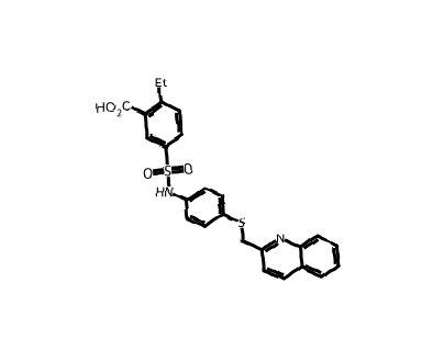 CCc1ccc(S(=O)(=O)Nc2ccc(SCc3ccc4ccccc4n3)cc2)cc1C(=O)O